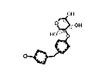 O[C@@H]1[C@@H](Oc2ccc(Cc3ccc(Cl)cc3)cc2)[C@H](O)OC[C@H]1O